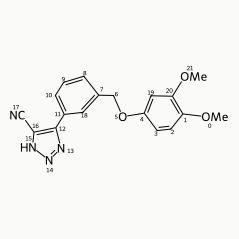 COc1ccc(OCc2cccc(-c3nn[nH]c3C#N)c2)cc1OC